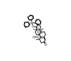 CC1CC(=O)C=C2CC[C@@H]3[C@@H](CC[C@]4(C)C(O[Si](c5ccccc5)(c5ccccc5)c5ccccc5)CC[C@@H]34)[C@]21C=O